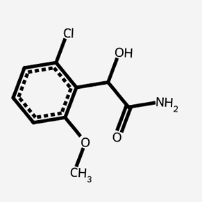 COc1cccc(Cl)c1C(O)C(N)=O